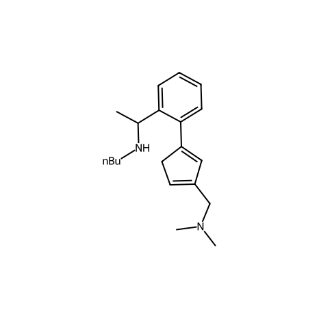 CCCCNC(C)c1ccccc1C1=CC(CN(C)C)=CC1